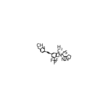 C=C1c2cc(C#Cc3ccc(CC)cc3)cc(C(F)(F)F)c2CN1C(C=S)c1ncn2c1CCC2